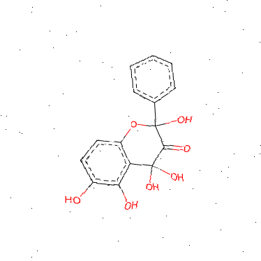 O=C1C(O)(O)c2c(ccc(O)c2O)OC1(O)c1ccccc1